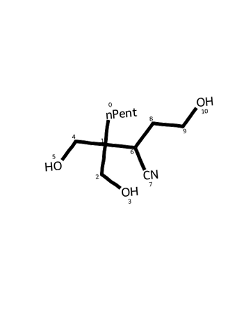 CCCCCC(CO)(CO)C(C#N)CCO